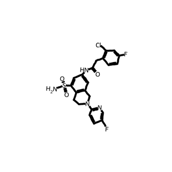 NS(=O)(=O)c1cc(NC(=O)Cc2ccc(F)cc2Cl)cc2c1CCN(c1ccc(F)cn1)C2